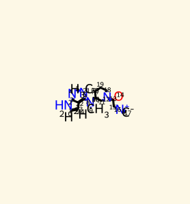 [2H]c1[nH]c2ncnc(N(C)[C@H]3CN(C(=O)C[N+]#[C-])CC[C@H]3C)c2c1[2H]